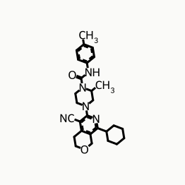 Cc1ccc(NC(=O)N2CCN(c3nc(C4CCCCC4)c4c(c3C#N)CCOC4)CC2C)cc1